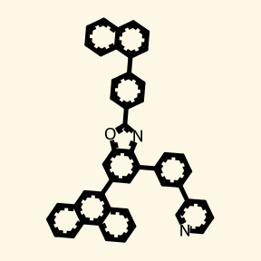 c1cncc(-c2cccc(-c3cc(-c4cc5ccccc5c5ccccc45)cc4oc(-c5ccc(-c6cccc7ccccc67)cc5)nc34)c2)c1